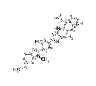 CCN1CCc2nc(-c3ccc(-c4nc(Nc5ccc6[nH]ncc6c5C5CC5)n(C)n4)cc3F)n(C)c2C1